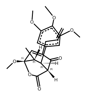 C=CCC1=C[C@@]2(OC)OC(=O)[C@@H](C1=O)[C@H](c1cc(OC)c(OC)c(OC)c1)[C@H]2C